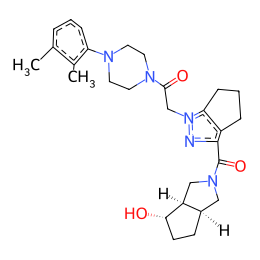 Cc1cccc(N2CCN(C(=O)Cn3nc(C(=O)N4C[C@H]5CC[C@H](O)[C@H]5C4)c4c3CCC4)CC2)c1C